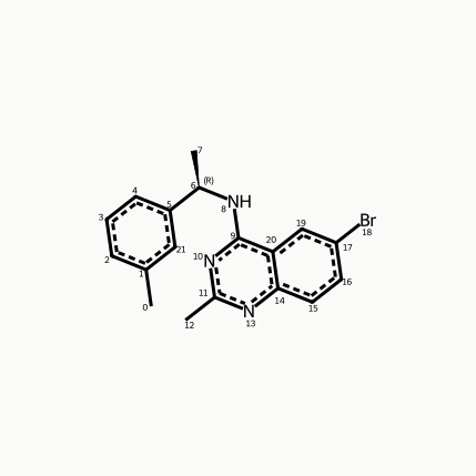 Cc1cccc([C@@H](C)Nc2nc(C)nc3ccc(Br)cc23)c1